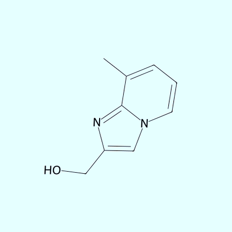 Cc1cccn2cc(CO)nc12